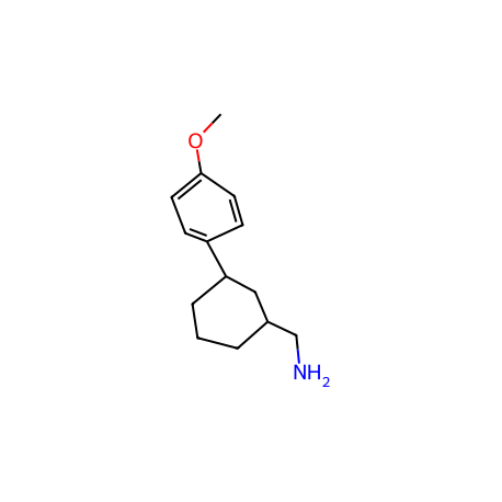 COc1ccc(C2CCCC(CN)C2)cc1